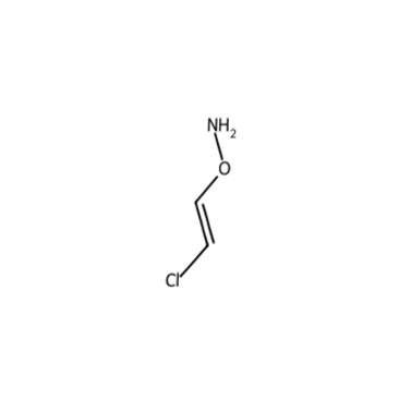 NOC=CCl